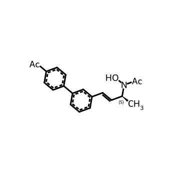 CC(=O)c1ccc(-c2cccc(C=C[C@H](C)N(O)C(C)=O)c2)cc1